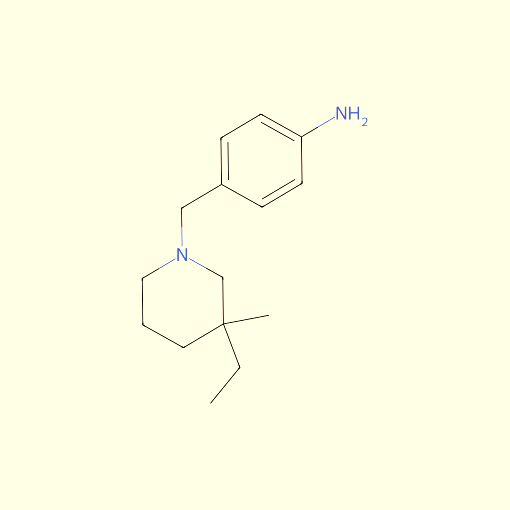 CCC1(C)CCCN(Cc2ccc(N)cc2)C1